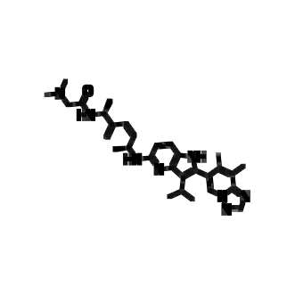 C=C(/C=C\[C@H](C)Nc1ccc2[nH]c(-c3cn4ncnc4c(C)c3C)c(C(C)C)c2n1)[C@H](C)NC(=O)CN(C)C